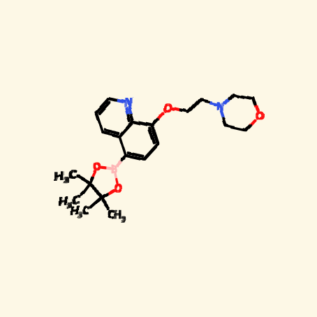 CC1(C)OB(c2ccc(OCCN3CCOCC3)c3ncccc23)OC1(C)C